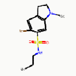 CC(=O)N1CCc2cc(Br)c(S(=O)(=O)NCCC(C)C)cc21